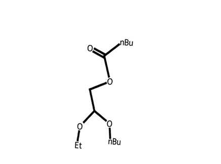 [CH2]CCCC(=O)OCC(OCC)OCCCC